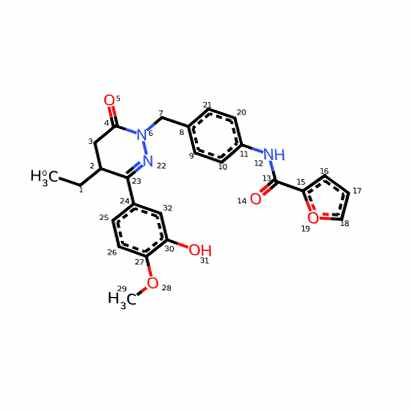 CCC1CC(=O)N(Cc2ccc(NC(=O)c3ccco3)cc2)N=C1c1ccc(OC)c(O)c1